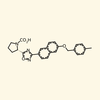 Cc1ccc(COc2ccc3cc(-c4noc([C@@H]5CCCN5C(=O)O)n4)ccc3c2)cc1